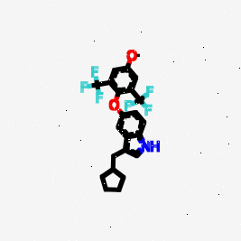 [O]c1cc(C(F)(F)F)c(Oc2ccc3[nH]cc(CC4CCCC4)c3c2)c(C(F)(F)F)c1